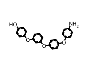 Nc1ccc(Oc2ccc(Oc3cccc(Oc4ccc(O)cc4)c3)cc2)cc1